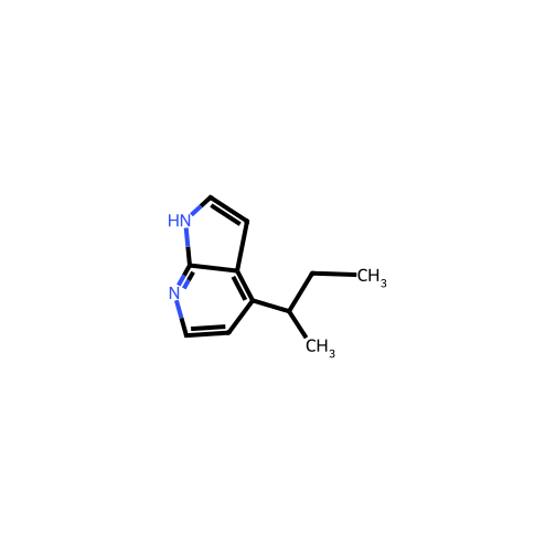 CCC(C)c1ccnc2[nH]ccc12